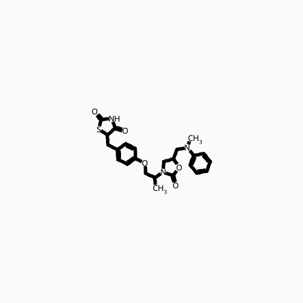 CC(COc1ccc(CC2SC(=O)NC2=O)cc1)N1CC(CN(C)c2ccccc2)OC1=O